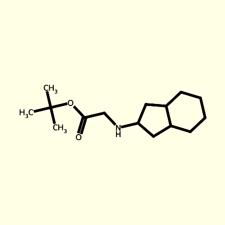 CC(C)(C)OC(=O)CNC1CC2CCCCC2C1